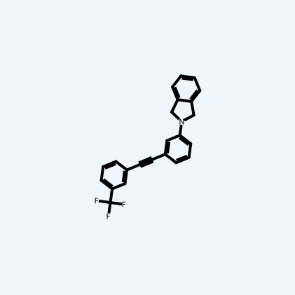 FC(F)(F)c1cccc(C#Cc2cccc(N3Cc4ccccc4C3)c2)c1